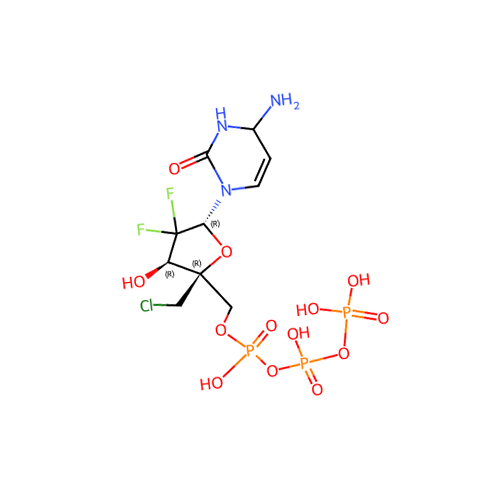 NC1C=CN([C@@H]2O[C@](CCl)(COP(=O)(O)OP(=O)(O)OP(=O)(O)O)[C@@H](O)C2(F)F)C(=O)N1